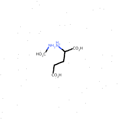 NC(=O)O.NC(CCC(=O)O)C(=O)O